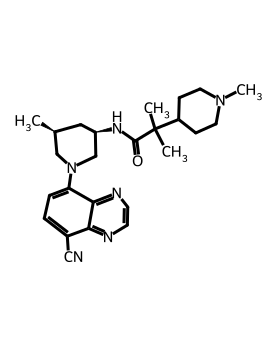 C[C@H]1C[C@@H](NC(=O)C(C)(C)C2CCN(C)CC2)CN(c2ccc(C#N)c3nccnc23)C1